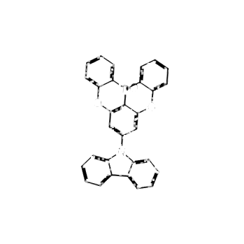 O=P12c3ccccc3Oc3cc(-n4c5ccccc5c5ccccc54)cc(c31)Oc1ccccc12